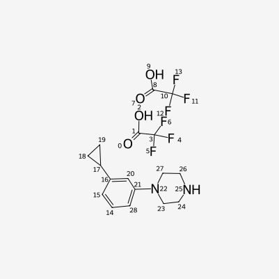 O=C(O)C(F)(F)F.O=C(O)C(F)(F)F.c1cc(C2CC2)cc(N2CCNCC2)c1